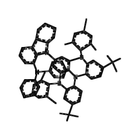 Cc1cc(C)c(B2c3cc(C(C)(C)C)ccc3N3c4ccc(C(C)(C)C)cc4B(c4c(C)cc(C)cc4C)c4cc(-n5c6ccccc6c6cccc(N(c7ccccc7)c7ccccc7)c65)cc2c43)c(C)c1